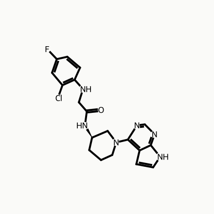 O=C(CNc1ccc(F)cc1Cl)N[C@@H]1CCCN(c2ncnc3[nH]ccc23)C1